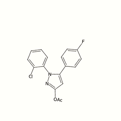 CC(=O)Oc1cc(-c2ccc(F)cc2)n(-c2ccccc2Cl)n1